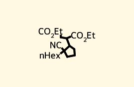 CCCCCCC1(C#N)CCCC1C(CC(=O)OCC)C(=O)OCC